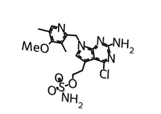 COc1c(C)cnc(Cn2cc(CCOS(N)(=O)=O)c3c(Cl)nc(N)nc32)c1C